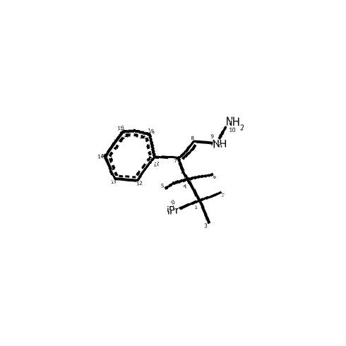 CC(C)C(C)(C)C(C)(C)/C(=C\NN)c1ccccc1